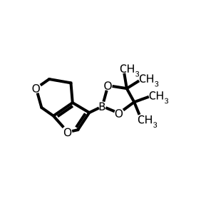 CC1(C)OB(c2coc3c2CCOC3)OC1(C)C